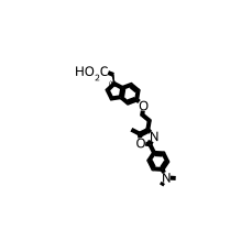 Cc1oc(-c2ccc(N(C)C)cc2)nc1CCOc1ccc2c(c1)CC[C@H]2CC(=O)O